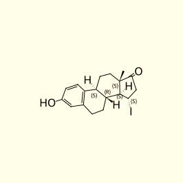 C[C@]12CC[C@@H]3c4ccc(O)cc4CC[C@H]3[C@@H]1[C@@H](I)CC2=O